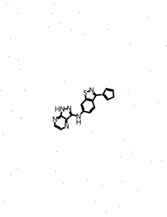 C1=CC(c2nsc3cc(Nc4n[nH]c5nccnc45)ccc23)=CC1